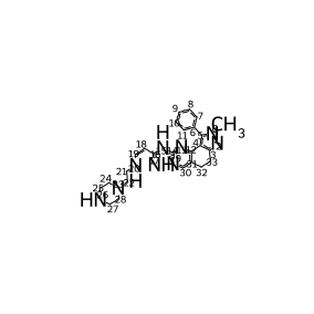 Cn1nc2c(c1-c1ccccc1)-c1nc(NC(=N)/C=C\NCCN3CCNCC3)ncc1CC2